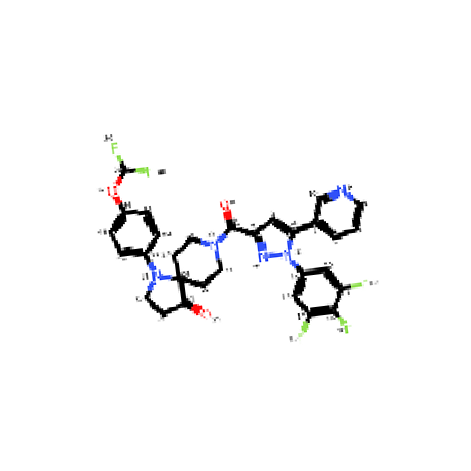 O=C(c1cc(-c2cccnc2)n(-c2cc(F)c(F)c(F)c2)n1)N1CCC2(CC1)C(=O)CCN2c1ccc(OC(F)F)cc1